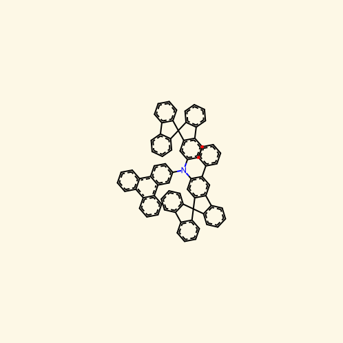 c1ccc(-c2cc3c(cc2N(c2ccc4c(c2)C2(c5ccccc5-c5ccccc52)c2ccccc2-4)c2ccc4c5ccccc5c5ccccc5c4c2)C2(c4ccccc4-c4ccccc42)c2ccccc2-3)cc1